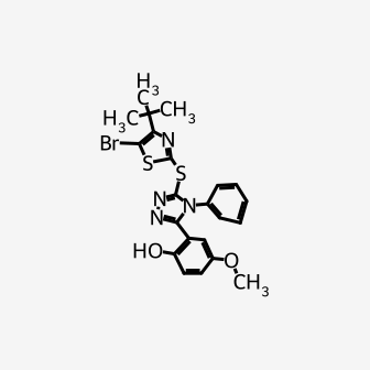 COc1ccc(O)c(-c2nnc(Sc3nc(C(C)(C)C)c(Br)s3)n2-c2ccccc2)c1